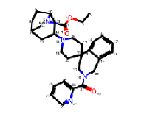 CCOC(=O)N1CC2CCC1CC(N1CCC3(CC1)CN(C(=O)c1ccccn1)Cc1ccccc13)C2